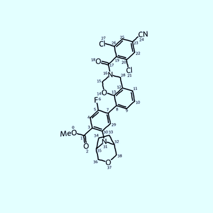 COC(=O)c1cc(F)c(-c2cccc3c2OCN(C(=O)c2c(Cl)cc(C#N)cc2Cl)C3)cc1N1C2CCC1COC2